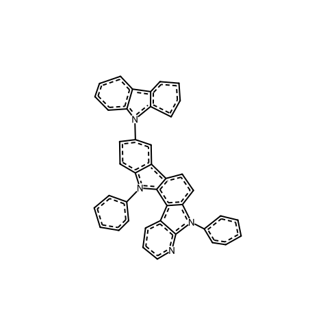 c1ccc(-n2c3ccc4c5cc(-n6c7ccccc7c7ccccc76)ccc5n(-c5ccccc5)c4c3c3cccnc32)cc1